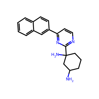 NC1CCCC(N)(c2nccc(-c3ccc4ccccc4c3)n2)C1